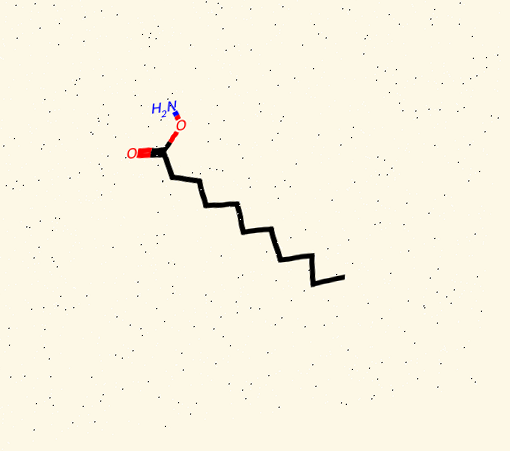 CCCCCCCCCCC(=O)ON